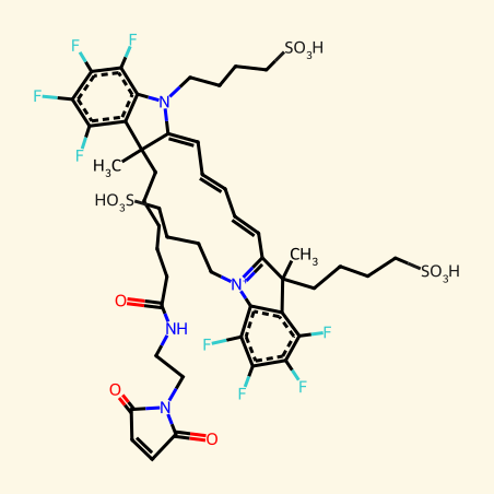 CC1(CCCCS(=O)(=O)O)C(/C=C/C=C/C=C2/N(CCCCS(=O)(=O)O)c3c(F)c(F)c(F)c(F)c3C2(C)CCCCCC(=O)NCCN2C(=O)C=CC2=O)=[N+](CCCCS(=O)(=O)O)c2c(F)c(F)c(F)c(F)c21